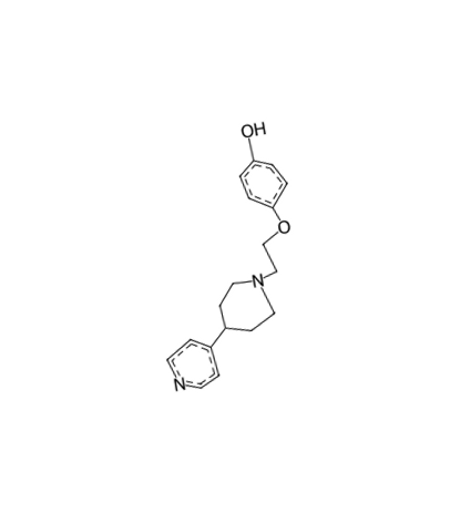 Oc1ccc(OCCN2CCC(c3ccncc3)CC2)cc1